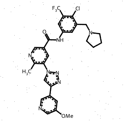 COc1cncc(-c2cn(-c3cc(C(=O)Nc4cc(CN5CCCC5)c(Cl)c(C(F)(F)F)c4)cnc3C)nn2)c1